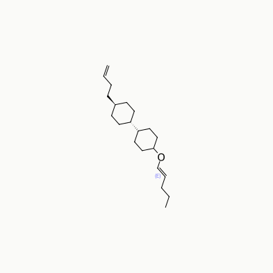 C=CCC[C@H]1CC[C@H](C2CCC(O/C=C/CCC)CC2)CC1